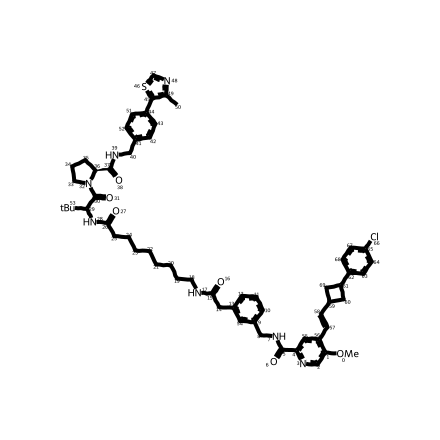 COc1cnc(C(=O)NCc2cccc(CC(=O)NCCCCCCCCC(=O)NC(C(=O)N3CCC[C@H]3C(=O)NCc3ccc(-c4scnc4C)cc3)C(C)(C)C)c2)cc1/C=C/C1CC(c2ccc(Cl)cc2)C1